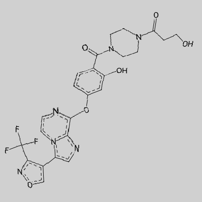 O=C(CCO)N1CCN(C(=O)c2ccc(Oc3nccn4c(-c5conc5C(F)(F)F)cnc34)cc2O)CC1